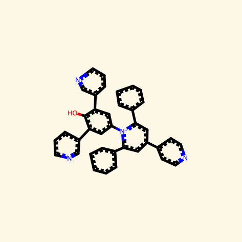 Oc1c(-c2cccnc2)cc(-[n+]2c(-c3ccccc3)cc(-c3ccncc3)cc2-c2ccccc2)cc1-c1cccnc1